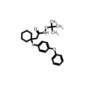 CC(C)(C)ONC(=O)CC1(Sc2ccc(Oc3ccccc3)cc2)CCCCC1